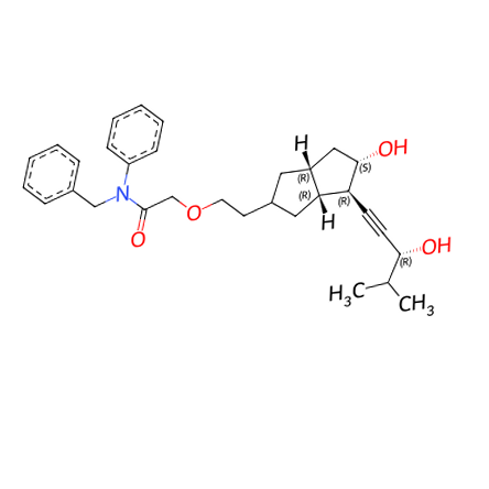 CC(C)[C@@H](O)C#C[C@H]1[C@@H]2CC(CCOCC(=O)N(Cc3ccccc3)c3ccccc3)C[C@@H]2C[C@@H]1O